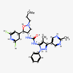 COCCN1C[C@H](NC(=O)Nc2c(C)c(-c3cnc(C)nc3)nn2-c2ccccc2)[C@@H](C2C=C(F)N=C(F)C2)O1